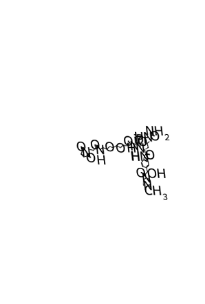 CC(C)C(NC(=O)CCOCCOCCNC(=O)CCN1C(=O)C=CC1=O)C(=O)N[C@@H](CCCNC(N)=O)C(=O)Nc1ccc(C(O)C(=O)N2CCN(C)CC2)cc1